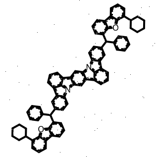 c1ccc(C(c2ccc3c(c2)c2cccc4c5cc6c(cc5n3c24)c2cccc3c4cc(C(c5ccccc5)c5cccc7c5oc5c(C8CCCCC8)cccc57)ccc4n6c32)c2cccc3c2oc2c(C4CCCCC4)cccc23)cc1